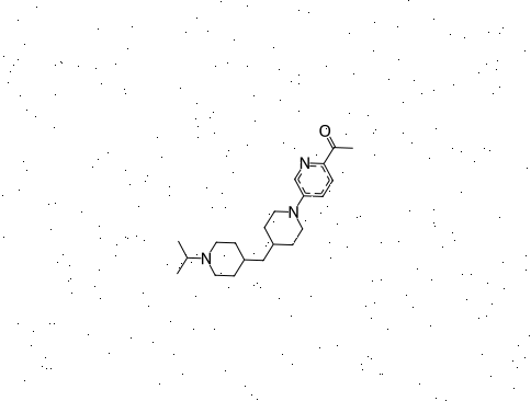 CC(=O)c1ccc(N2CCC(CC3CCN(C(C)C)CC3)CC2)cn1